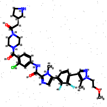 COCCn1ncc(-c2ccc(-c3cnc(C(=O)Nc4ccc(C(=O)N5CCN(C(=O)C[C@@H]6CCNC6)CC5)c(Cl)c4)n3C)c(F)c2F)c1C